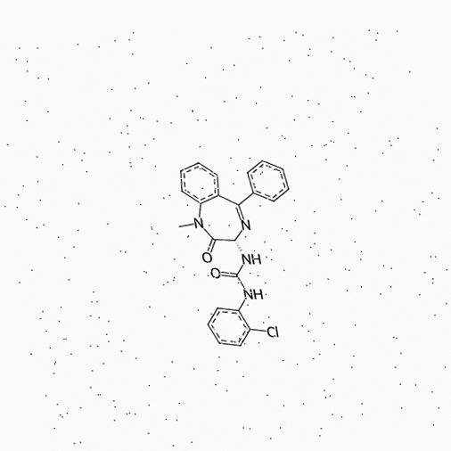 CN1C(=O)[C@@H](NC(=O)Nc2ccccc2Cl)N=C(c2ccccc2)c2ccccc21